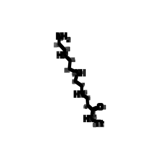 CCNC(=O)CCNCCNCCNCCN